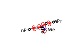 CCCc1ccc(CCC(=O)O[C@H]2CC[C@H](C(=O)Oc3ccc(OC(=O)[C@H]4CC[C@H](OC(=O)CCc5ccc(CCC)cc5)CC4)c4c(C)c(-c5cccc(C)c5)c(C(=O)OC)nc34)CC2)cc1